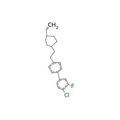 C=CC1CCC(CCc2ccc(-c3ccc(Cl)c(F)c3)cc2)CC1